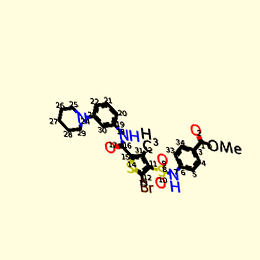 COC(=O)c1ccc(NS(=O)(=O)c2c(Br)sc(C(=O)Nc3cccc(N4CCCCC4)c3)c2C)cc1